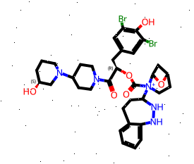 O=C([C@@H](Cc1cc(Br)c(O)c(Br)c1)OC(=O)[N+]1(C2CCc3ccccc3NN2)CCC2CC1O2)N1CCC(N2CCC[C@H](O)C2)CC1